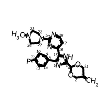 C=C1COC(c2nc(-c3ccc(F)cc3)c(-c3ccnc(N4CCN(C)CC4)n3)[nH]2)OC1